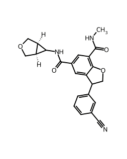 CNC(=O)c1cc(C(=O)NC2[C@H]3COC[C@@H]23)cc2c1OCC2c1cccc(C#N)c1